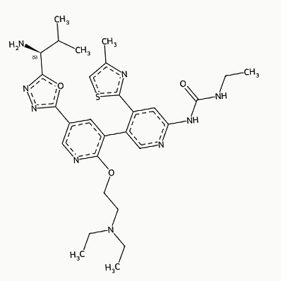 CCNC(=O)Nc1cc(-c2nc(C)cs2)c(-c2cc(-c3nnc([C@@H](N)C(C)C)o3)cnc2OCCN(CC)CC)cn1